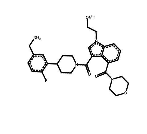 COCCn1cc(C(=O)N2CCC(c3cc(CN)ccc3F)CC2)c2c(C(=O)N3CCOCC3)cccc21